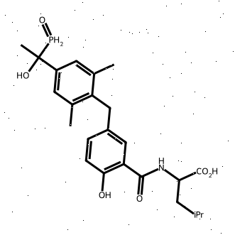 Cc1cc(C(C)(O)[PH2]=O)cc(C)c1Cc1ccc(O)c(C(=O)NC(CC(C)C)C(=O)O)c1